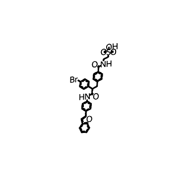 O=C(NCCS(=O)(=O)O)c1ccc(CC(C(=O)Nc2ccc(-c3cc4ccccc4o3)cc2)c2ccc(Br)cc2)cc1